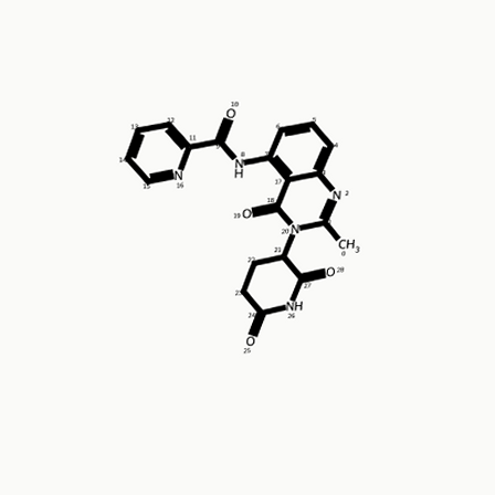 Cc1nc2cccc(NC(=O)c3ccccn3)c2c(=O)n1C1CCC(=O)NC1=O